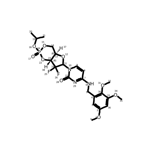 COc1cc(CNc2ccn(C3O[C@@H]4COP(=O)(OC(C)C)O[C@H]4C3(F)F)c(=O)n2)c(OC)c(OC)c1